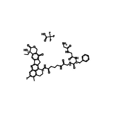 CC[C@@]1(O)C(=O)OCc2c1cc1n(c2=O)Cc2c-1nc1cc(F)c(C)c3c1c2[C@@H](NC(=O)CCCNC(=O)CNC(=O)[C@H](Cc1ccccc1)NC(=O)CNC(=O)CN)CC3.O=C(O)C(F)(F)F